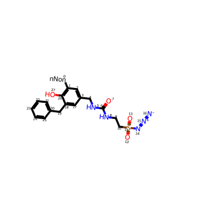 CCCCCCCCCc1cc(CNC(=O)NCCS(=O)(=O)N=[N+]=[N-])cc(Cc2ccccc2)c1O